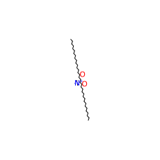 CCCCCCCCCCCCCCCC(=O)CCC(C(=O)CCCCCCCCCCCCCCC)[N+](C)(C)C